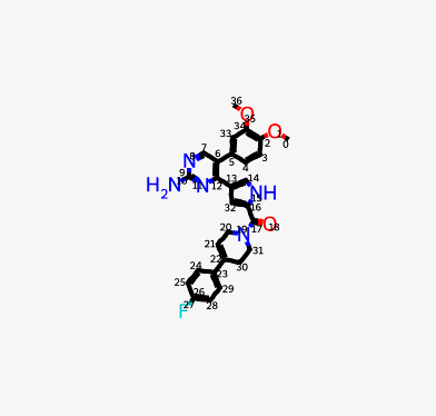 COc1ccc(-c2cnc(N)nc2-c2c[nH]c(C(=O)N3CC=C(c4ccc(F)cc4)CC3)c2)cc1OC